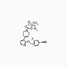 CC(C)(C)OC(=O)N1CC=C(c2cccnc2OCc2ccc(C#N)cc2F)CC1